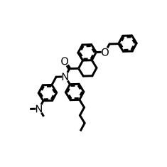 CCCCc1ccc(N(Cc2ccc(N(C)C)cc2)C(=O)C2CCCc3c(OCc4ccccc4)cccc32)cc1